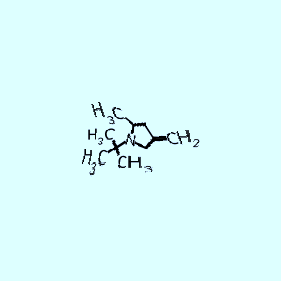 C=C1CC(C)N(C(C)(C)C)C1